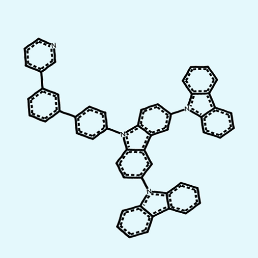 c1cncc(-c2cccc(-c3ccc(-n4c5ccc(-n6c7ccccc7c7ccccc76)cc5c5cc(-n6c7ccccc7c7ccccc76)ccc54)cc3)c2)c1